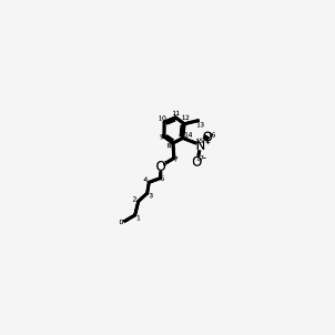 CCCCCCOCc1cccc(C)c1[N+](=O)[O-]